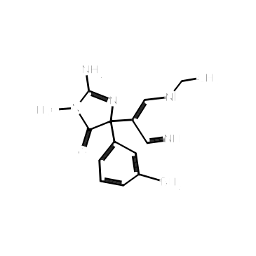 Bc1cccc(C2(/C(C=N)=C/NCC)N=C(N)N(C)C2=O)c1